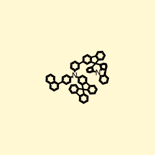 c1cc(-c2ccc3c(c2)C2(c4ccccc4-3)c3ccccc3-n3c4ccccc4c4cccc2c43)cc(N(c2ccc(-c3cccc4ccccc34)cc2)c2ccc3c(c2)C2(c4ccccc4-c4ccccc42)c2ccccc2-3)c1